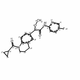 COC(C(=O)Nc1ccc(F)cn1)c1ccc2c(c1)CCCN2C(=O)C1CC1